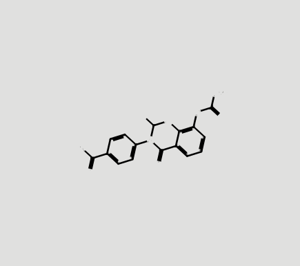 COC(=O)Oc1cccc2c1OC(O)N(c1ccc(C(N)=O)cc1)C2=O